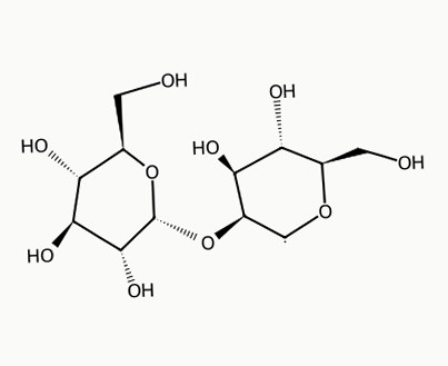 OC[C@H]1O[C@H](O[C@@H]2[CH]O[C@H](CO)[C@@H](O)[C@@H]2O)[C@H](O)[C@@H](O)[C@@H]1O